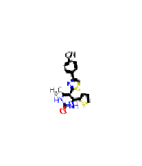 CC1=C(c2nc(-c3ccc(C#N)cc3)cs2)C(c2cccs2)NC(=O)N1